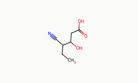 CCC(C#N)C(O)CC(=O)O